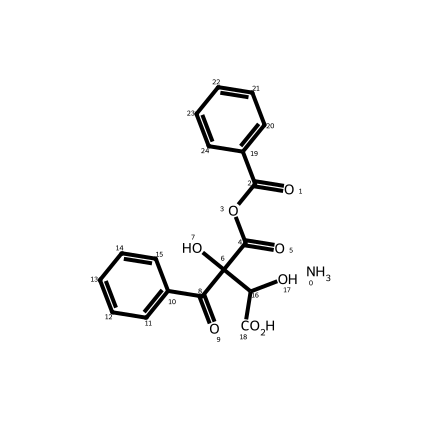 N.O=C(OC(=O)C(O)(C(=O)c1ccccc1)C(O)C(=O)O)c1ccccc1